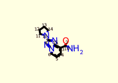 NC(=O)c1c[c]cn2nc(N3CCCC3)nc12